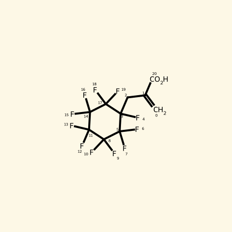 C=C(CC1(F)C(F)(F)C(F)(F)C(F)(F)C(F)(F)C1(F)F)C(=O)O